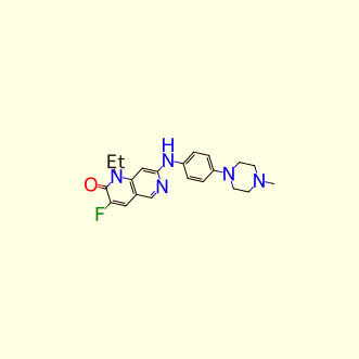 CCn1c(=O)c(F)cc2cnc(Nc3ccc(N4CCN(C)CC4)cc3)cc21